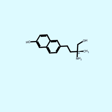 C[C@](N)(CO)CCc1ccc2cc(O)ccc2c1